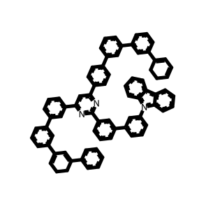 C1=CCCC(c2cccc(-c3cccc(-c4ccc(-c5cc(-c6cccc(-c7cccc(C8=CCCC(c9ccccc9)=C8)c7)c6)nc(-c6cccc(-c7cccc(-n8c9ccccc9c9ccccc98)c7)c6)n5)cc4)c3)c2)=C1